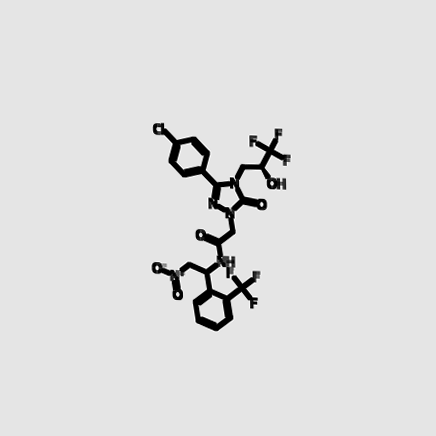 O=C(Cn1nc(-c2ccc(Cl)cc2)n(C[C@H](O)C(F)(F)F)c1=O)NC(C[N+](=O)[O-])c1ccccc1C(F)(F)F